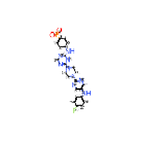 O=P(=O)c1ccc(Nc2ncnc(N3CCN(c4ncc(Nc5ccc(F)cc5)cn4)CC3)n2)cc1